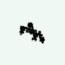 Cc1csc(CN(C)C(=O)c2cc(C(=O)N[C@@H](Cc3ccccc3)[C@H](O)CNCc3cncc(C(C)(C)F)c3)cc(C(F)F)c2)n1